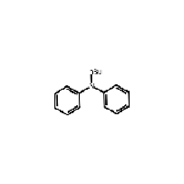 CCCCN(c1ccccc1)c1ccccc1